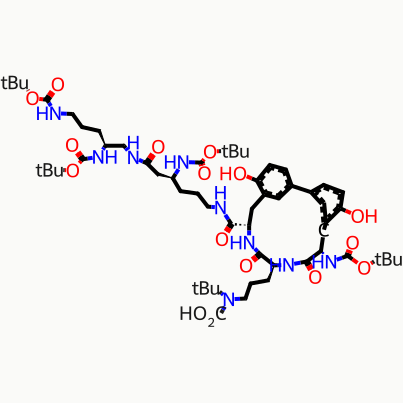 CC(C)(C)OC(=O)NCCC[C@@H](CNC(=O)C[C@H](CCCNC(=O)[C@@H]1Cc2cc(ccc2O)-c2ccc(O)c(c2)C[C@H](NC(=O)OC(C)(C)C)C(=O)N[C@@H](CCCN(C(=O)O)C(C)(C)C)C(=O)N1)NC(=O)OC(C)(C)C)NC(=O)OC(C)(C)C